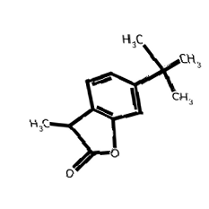 CC1C(=O)Oc2cc(C(C)(C)C)ccc21